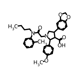 CCCCN(C(=O)CN1CC(c2ccc3c(c2)OCO3)C(C(=O)O)C1c1ccc(OC)cc1)c1ccccc1C